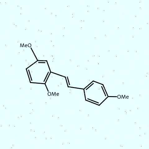 COc1ccc(C=Cc2cc(OC)ccc2OC)cc1